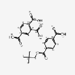 CC(C)(C)COC(=O)c1ccc(C(=O)O)cc1.O=C(O)c1ccc(C(=O)O)c(C(=O)O)c1